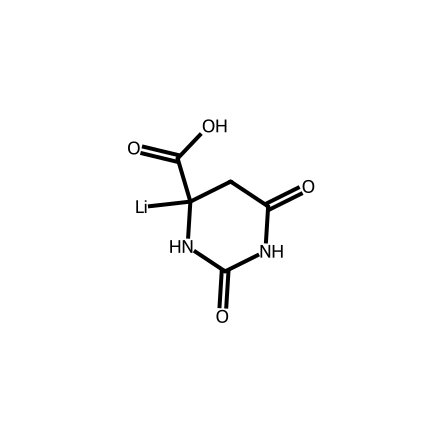 [Li][C]1(C(=O)O)CC(=O)NC(=O)N1